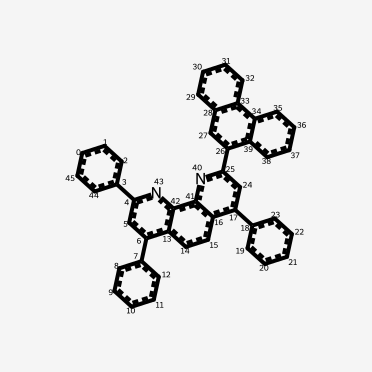 c1ccc(-c2cc(-c3ccccc3)c3ccc4c(-c5ccccc5)cc(-c5cc6ccccc6c6ccccc56)nc4c3n2)cc1